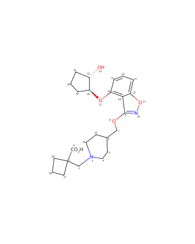 O=C(O)C1(CN2CCC(COc3noc4cccc(O[C@H]5CCC[C@@H]5O)c34)CC2)CCC1